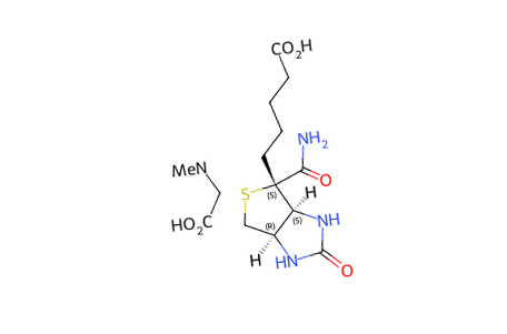 CNCC(=O)O.NC(=O)[C@@]1(CCCCC(=O)O)SC[C@@H]2NC(=O)N[C@@H]21